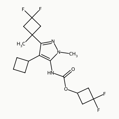 Cn1nc(C2(C)CC(F)(F)C2)c(C2CCC2)c1NC(=O)OC1CC(F)(F)C1